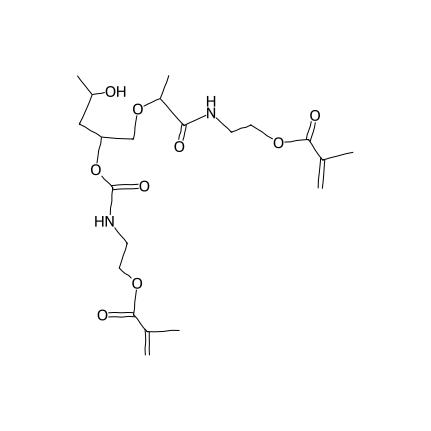 C=C(C)C(=O)OCCNC(=O)OC(COC(C)C(=O)NCCOC(=O)C(=C)C)CC(C)O